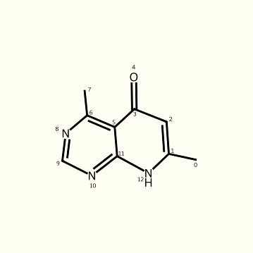 Cc1cc(=O)c2c(C)ncnc2[nH]1